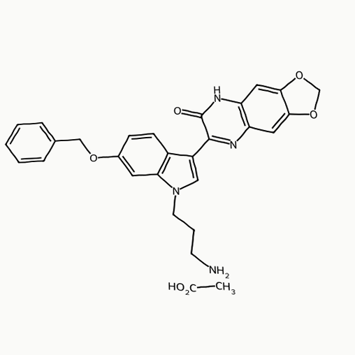 CC(=O)O.NCCCn1cc(-c2nc3cc4c(cc3[nH]c2=O)OCO4)c2ccc(OCc3ccccc3)cc21